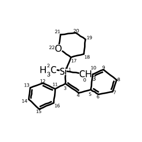 C[Si](C)(C(=Cc1ccccc1)c1ccccc1)C1CCCCO1